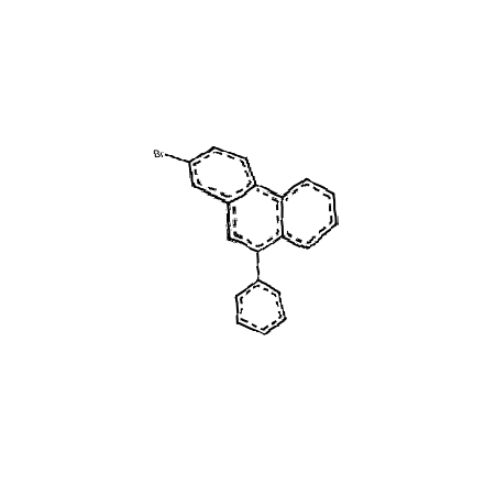 Brc1ccc2c(c1)cc(-c1ccccc1)c1ccccc12